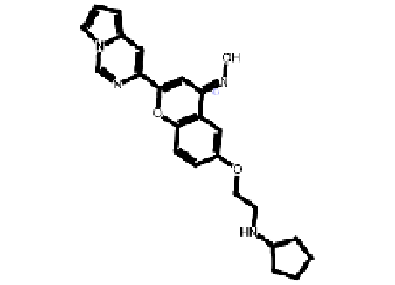 O/N=c1\cc(-c2cc3cccn3cn2)oc2ccc(OCCNC3CCCC3)cc12